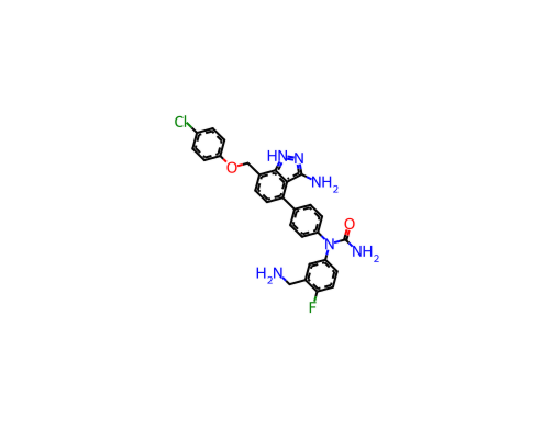 NCc1cc(N(C(N)=O)c2ccc(-c3ccc(COc4ccc(Cl)cc4)c4[nH]nc(N)c34)cc2)ccc1F